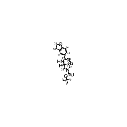 CC(C)(C)OC(=O)N1C[C@@H]2N=C(c3ccc4c(c3)CCO4)N[C@@H]2C1